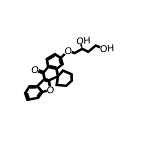 O=C1c2ccc(OC[C@@H](O)CCO)cc2C2(CCCCC2)c2oc3ccccc3c21